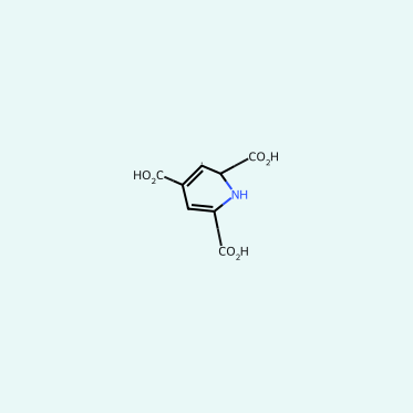 O=C(O)C1=[C]C(C(=O)O)NC(C(=O)O)=C1